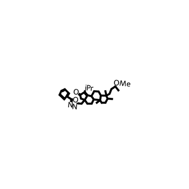 COC(C)CCC1(C)C(C)CCC2(C)C3CCC4(Cc5nnc(-c6ccccc6)o5)CC(=O)C(C(C)C)=C4C3CCC12